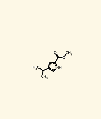 COC(=O)c1cc(C(C)C)c[nH]1